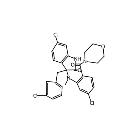 CN(c1cc(Cl)ccc1C(=O)N1CCOCC1)C1(Cc2cccc(Cl)c2)C(=O)Nc2cc(Cl)ccc21